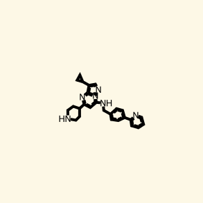 c1ccc(-c2ccc(CNc3cc(C4CCNCC4)nc4c(C5CC5)cnn34)cc2)nc1